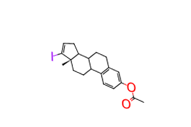 CC(=O)Oc1ccc2c(c1)CCC1C2CC[C@]2(C)C(I)=CCC12